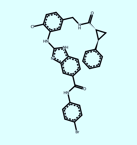 O=C(Nc1ccc(Br)cc1)c1ccc2[nH]c(Nc3cc(CNC(=O)[C@@H]4C[C@H]4c4ccccc4)ccc3Cl)nc2c1